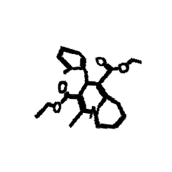 CCOC(=O)C1=C(C)N2CCCCC2=C(C(=O)OCC)C1c1ccccc1C